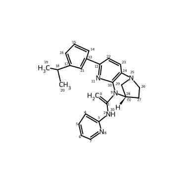 C=C(Nc1ccccn1)N1c2nc(-c3cccc(C(C)C)c3)ccc2N2CC[C@H]1C2